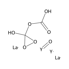 O=C(O)OC1(O)OO1.[La].[La].[O]=[Y].[Y]